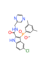 COP(=O)(c1cc(C)cc(C)c1)c1c(C(=O)NCc2cnccn2)[nH]c2ccc(Cl)cc12